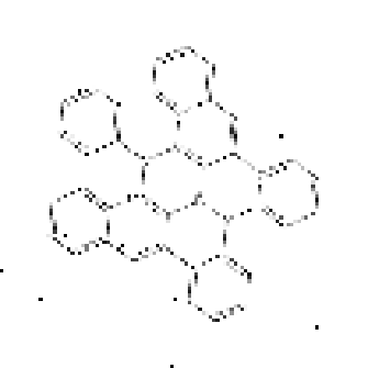 c1ccc(N2c3c4c(cc5ccccc35)-c3ccccc3N3B4c4c(cc5ccccc5c42)-c2ccccc23)cc1